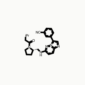 CC(C)CC(=O)N1CCC[C@H]1CNc1ccc2ncc(-c3cccc(C#N)c3)n2n1